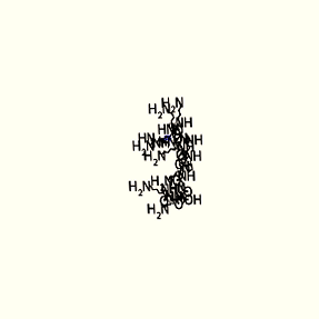 CC(O)[C@H](NC(=O)[C@H](CCN)NC(=O)C(N)CCCCN)C(=O)NCC(=O)N[C@H](CCCN)C(=O)N1CCC[C@H]1C(=O)NC(Cc1cnc[nH]1)C(=O)N[C@@H](CCCCN)C(=O)N/C(=C\CCNC(=N)N)C(=O)N[C@@H](CCCCN)C(=O)NCCCCN